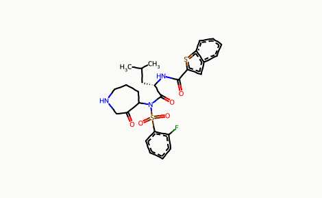 CC(C)C[C@H](NC(=O)c1cc2ccccc2s1)C(=O)N(C1CCCNCC1=O)S(=O)(=O)c1ccccc1F